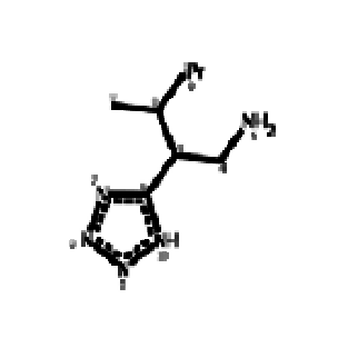 CC(C)C(C)C(CN)c1nnn[nH]1